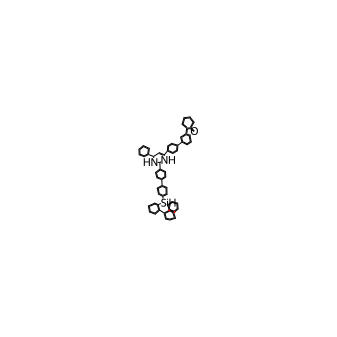 C1=C(c2ccc(-c3ccc4oc5ccccc5c4c3)cc2)NC(c2ccc(-c3ccc([SiH](c4ccccc4)c4ccccc4-c4ccccc4)cc3)cc2)NC1c1ccccc1